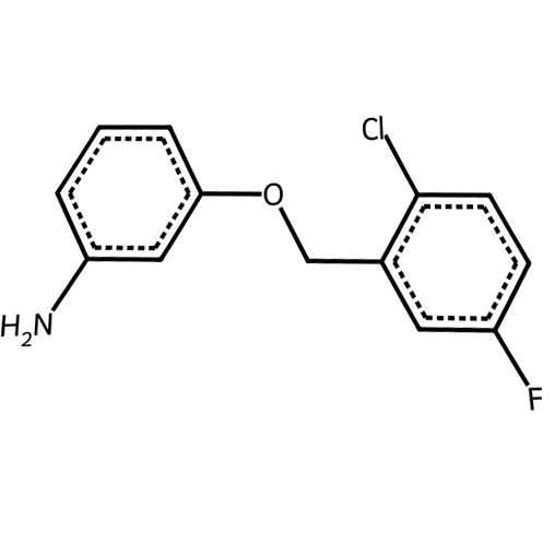 Nc1cccc(OCc2cc(F)ccc2Cl)c1